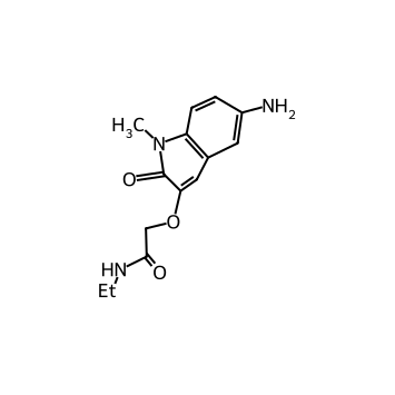 CCNC(=O)COc1cc2cc(N)ccc2n(C)c1=O